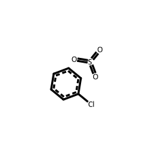 Clc1ccccc1.O=S(=O)=O